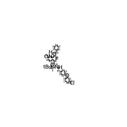 CC(C)(C)[Si](C)(C)O[C@@H](CNCCc1ccc(Oc2cccc(Cl)c2)cc1)c1ccc(OCc2ccccc2)c2[nH]c(=O)ccc12